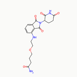 NC(=O)CCCOCCNc1cccc2c1C(=O)N(C1CCC(=O)NC1=O)C2=O